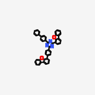 c1ccc(-c2ccc(-c3nc(-c4ccc(-c5cccc6c5oc5ccccc56)cc4)nc(-c4cccc5c4oc4ccccc45)n3)cc2)cc1